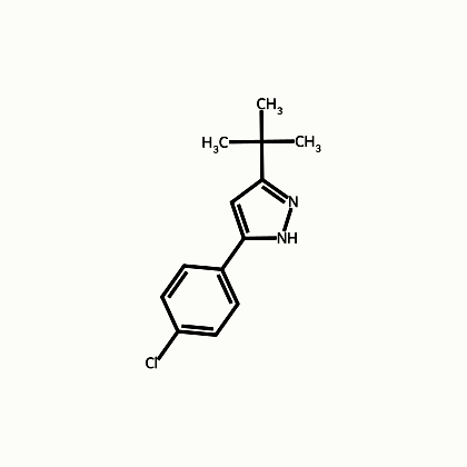 CC(C)(C)c1cc(-c2ccc(Cl)cc2)[nH]n1